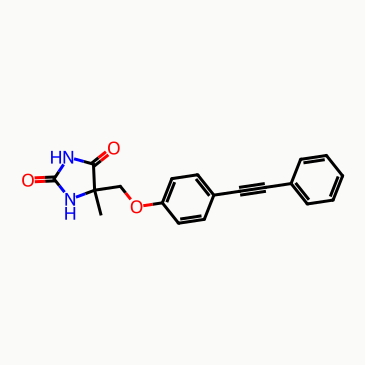 CC1(COc2ccc(C#Cc3ccccc3)cc2)NC(=O)NC1=O